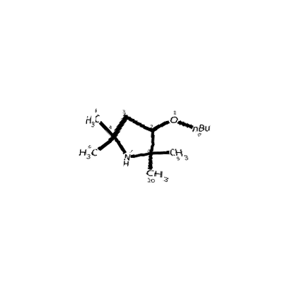 CCCCOC1CC(C)(C)NC1(C)C